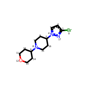 Brc1ccn(C2CCN(C3CCOCC3)CC2)n1